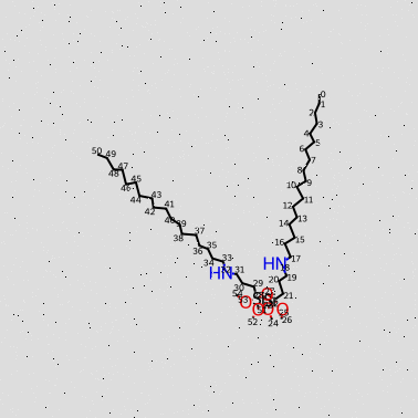 CCCCCCCCCCCCCCCCCCNCCC[Si](OC)(OC)O[Si](CCCNCCCCCCCCCCCCCCCCCC)(OC)OC